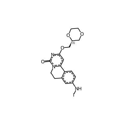 O=c1nc(OC[C@@H]2COCCO2)cc2n1CCc1cc(NI)ccc1-2